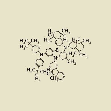 Cc1cc2c3c(c1)N(c1ccc4c(c1)C(C)(C)CCC4(C)C)c1cc4c(cc1B3c1ccc(N(c3ccc(C(C)(C)C)cc3)c3ccc(C(C)(C)C)cc3)cc1N2c1ccc2c(c1)-c1ccccc1C2(C)C)C(C)(C)CCC4(C)C